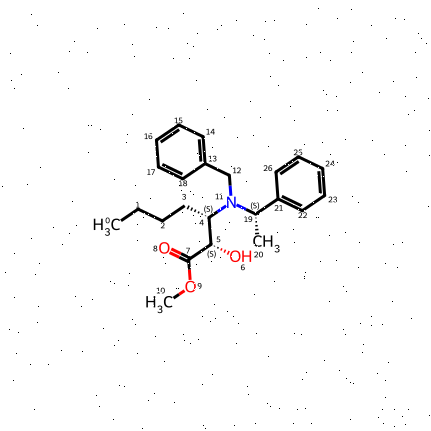 CCCC[C@@H]([C@H](O)C(=O)OC)N(Cc1ccccc1)[C@@H](C)c1ccccc1